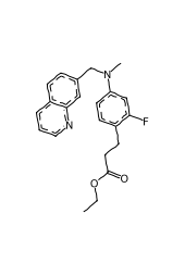 CCOC(=O)CCc1ccc(N(C)Cc2ccc3cccnc3c2)cc1F